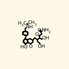 CC(C)NCc1ccc(-c2ccc(O)c3c2CC(CC(CCO)C(CO)C(=O)CC(N)=O)CC3=O)cc1